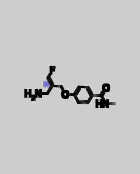 CNC(=O)c1ccc(OC/C(=C\F)CN)cc1